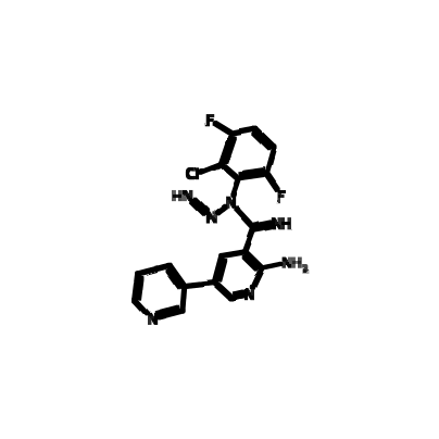 N=NN(C(=N)c1cc(-c2cccnc2)cnc1N)c1c(F)ccc(F)c1Cl